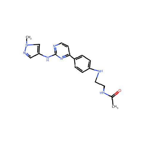 CC(=O)NCCNc1ccc(-c2ccnc(Nc3cnn(C)c3)n2)cc1